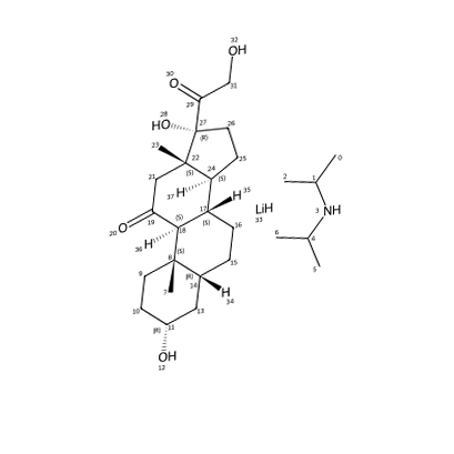 CC(C)NC(C)C.C[C@]12CC[C@@H](O)C[C@H]1CC[C@@H]1[C@@H]2C(=O)C[C@@]2(C)[C@H]1CC[C@]2(O)C(=O)CO.[LiH]